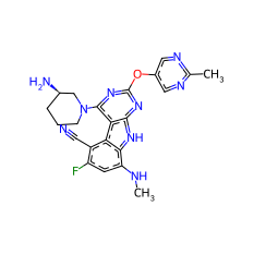 CNc1cc(F)c(C#N)c2c1[nH]c1nc(Oc3cnc(C)nc3)nc(N3CCC[C@@H](N)C3)c12